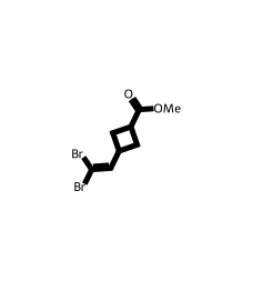 COC(=O)C1CC(C=C(Br)Br)C1